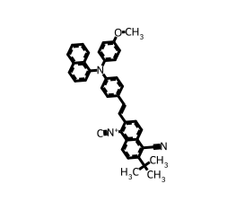 [C-]#[N+]c1c(C=Cc2ccc(N(c3ccc(OC)cc3)c3cccc4ccccc34)cc2)ccc2c(C#N)c(C(C)(C)C)ccc12